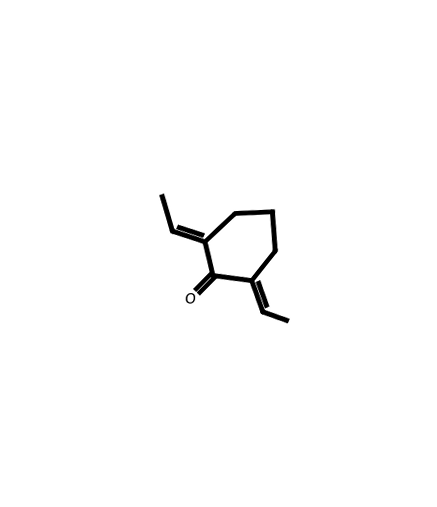 C/C=C1\CCC/C(=C\C)C1=O